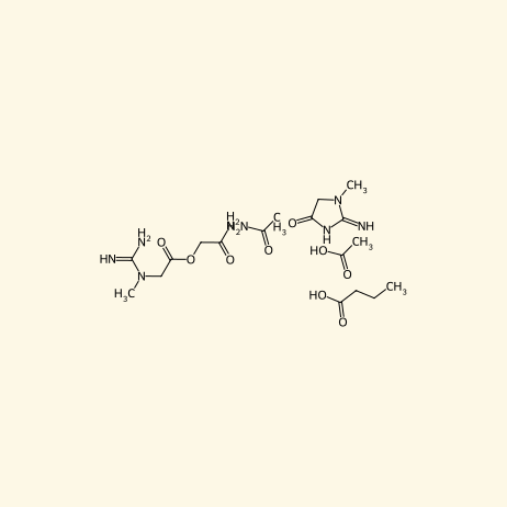 CC(=O)O.CC(N)=O.CCCC(=O)O.CN(CC(=O)OCC(N)=O)C(=N)N.CN1CC(=O)NC1=N